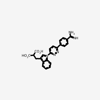 N=C(N)c1ccc(-c2ccc(-n3cc(CC(C(=O)O)C(=O)O)c4ccccc43)nn2)cc1